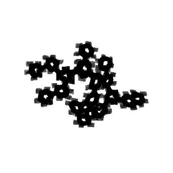 c1ccc(-c2ccc(-c3cc(-c4ccc5c(c4)C4(c6ccccc6-c6cc(-c7cccc(-c8cc(-c9ccccc9)cc(-c9nc(-c%10cccc(-c%11ccccn%11)c%10)nc(-c%10cccc(-c%11ccccn%11)c%10)n9)c8)c7)ccc64)c4ccccc4-5)nc(-c4ccc5ccccc5c4)n3)cc2)cc1